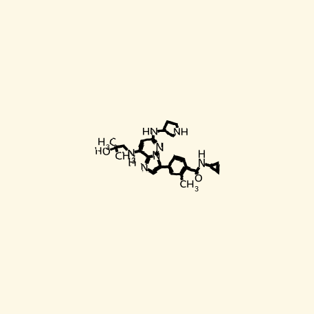 Cc1cc(-c2cnc3c(NCC(C)(C)O)cc(NC4CCNC4)nn23)ccc1C(=O)NC1CC1